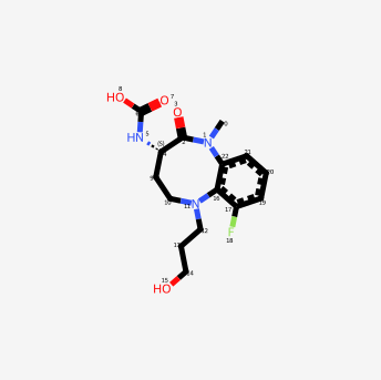 CN1C(=O)[C@@H](NC(=O)O)CCN(CCCO)c2c(F)cccc21